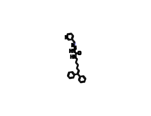 O=C(NCCCCC=C(c1ccccc1)c1ccccc1)NS/N=C/c1cccnc1